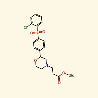 CC(C)(C)OC(=O)CCN1CCOC(c2ccc(S(=O)(=O)c3ccccc3Cl)cc2)C1